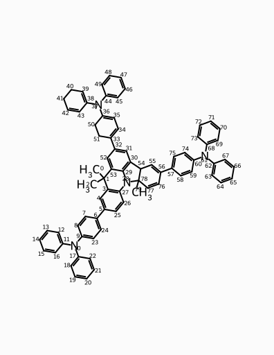 CC1(C)c2cc(-c3ccc(N(c4ccccc4)c4ccccc4)cc3)ccc2N2c3c(cc(C4=CC=C(N(C5=CCCC=C5)c5ccccc5)CC4)cc31)C1C=C(c3ccc(N(c4ccccc4)c4ccccc4)cc3)C=CC12C